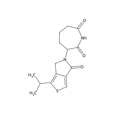 CC(C)c1scc2c1CN(C1CCCC(=O)NC1=O)C2=O